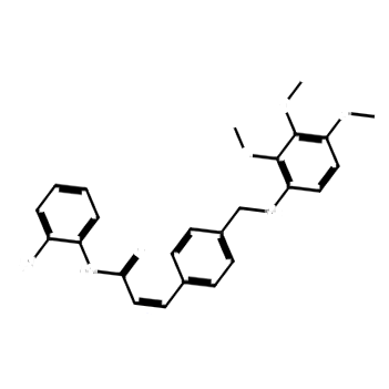 COc1ccc(NCc2ccc(/C=C\C(=O)Nc3ccccc3N)cc2)c(OC)c1OC